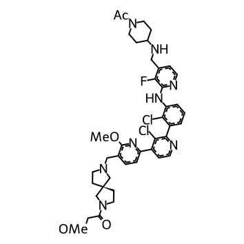 COCC(=O)N1CC[C@]2(CCN(Cc3ccc(-c4ccnc(-c5cccc(Nc6nccc(CNC7CCN(C(C)=O)CC7)c6F)c5Cl)c4Cl)nc3OC)C2)C1